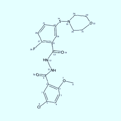 COc1ccc(Cl)cc1C(=O)NNC(=O)c1cc(SN2CCOCC2)ccc1F